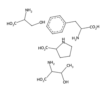 CC(O)C(N)C(=O)O.NC(CO)C(=O)O.NC(Cc1ccccc1)C(=O)O.O=C(O)C1CCCN1